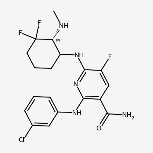 CN[C@@H]1C(Nc2nc(Nc3cccc(Cl)c3)c(C(N)=O)cc2F)CCCC1(F)F